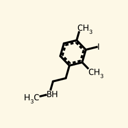 CBCCc1ccc(C)c(I)c1C